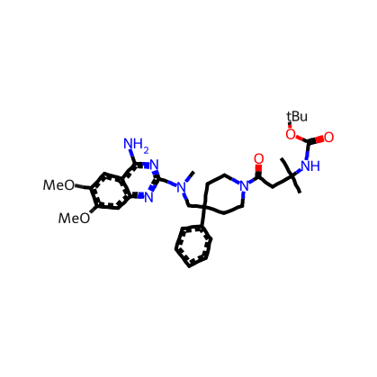 COc1cc2nc(N(C)CC3(c4ccccc4)CCN(C(=O)CC(C)(C)NC(=O)OC(C)(C)C)CC3)nc(N)c2cc1OC